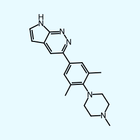 Cc1cc(-c2cc3cc[nH]c3nn2)cc(C)c1N1CCN(C)CC1